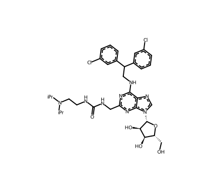 CC(C)N(CCNC(=O)NCc1nc(NCC(c2cccc(Cl)c2)c2cccc(Cl)c2)c2ncn([C@@H]3O[C@H](CO)[C@@H](O)[C@H]3O)c2n1)C(C)C